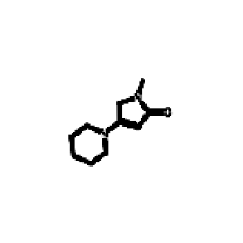 CN1CC(N2CCCCC2)=CC1=O